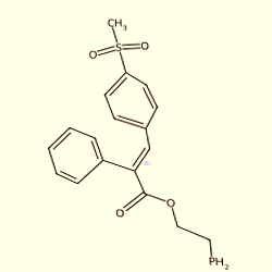 CS(=O)(=O)c1ccc(/C=C(/C(=O)OCCP)c2ccccc2)cc1